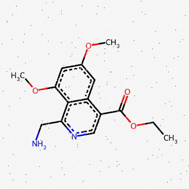 CCOC(=O)c1cnc(CN)c2c(OC)cc(OC)cc12